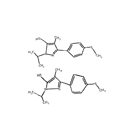 CSc1ccc(-c2nn(C(C)C)c(O)c2C)cc1.CSc1ccc(-c2nn(C(C)C)c(O)c2C)cc1